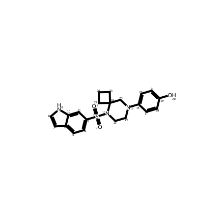 O=S(=O)(c1ccc2cc[nH]c2c1)N1CCN(c2ccc(O)cc2)CC12CCC2